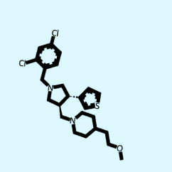 COCCC1CCN(C[C@H]2CN(Cc3ccc(Cl)cc3Cl)C[C@@H]2c2ccsc2)CC1